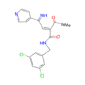 CNC(=O)/C(=C\C(=N)c1ccncc1)C(=O)NCc1cc(Cl)cc(Cl)c1